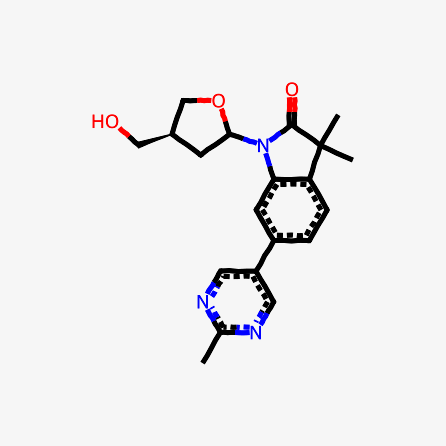 Cc1ncc(-c2ccc3c(c2)N(C2C[C@@H](CO)CO2)C(=O)C3(C)C)cn1